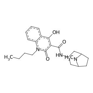 CCCCn1c(=O)c(C(=O)NC2CC3CCC(C2)N3C)c(O)c2ccccc21